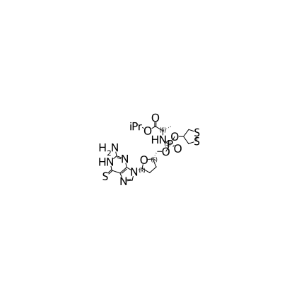 CC(C)OC(=O)[C@H](C)N[P@](=O)(OC[C@@H]1CC[C@H](n2cnc3c(=S)[nH]c(N)nc32)O1)OC1CSSC1